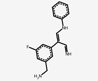 N=C/C(=C\Nc1ccccc1)c1cc(F)cc(CN)c1